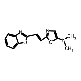 CN(C)c1cnc(C=Cc2nc3ccccc3o2)o1